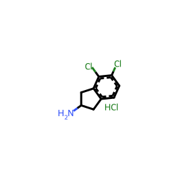 Cl.NC1Cc2ccc(Cl)c(Cl)c2C1